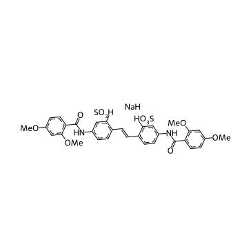 COc1ccc(C(=O)Nc2ccc(C=Cc3ccc(NC(=O)c4ccc(OC)cc4OC)cc3S(=O)(=O)O)c(S(=O)(=O)O)c2)c(OC)c1.[NaH]